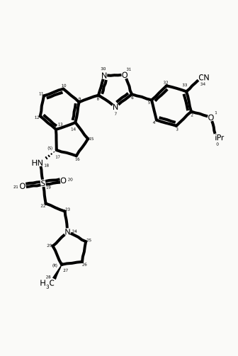 CC(C)Oc1ccc(-c2nc(-c3cccc4c3CC[C@@H]4NS(=O)(=O)CCN3CC[C@@H](C)C3)no2)cc1C#N